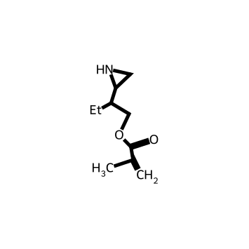 C=C(C)C(=O)OCC(CC)C1CN1